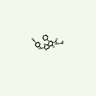 N#Cc1ccc(Nc2ncc3c(=O)c(C(=O)NC4CC4)cn(-c4ccccc4)c3n2)cc1